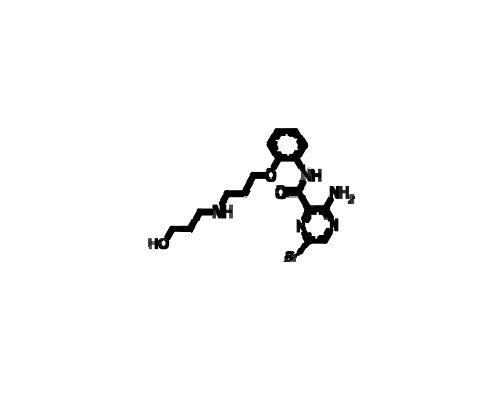 Nc1ncc(Br)nc1C(=O)Nc1ccccc1OCCCNCCCO